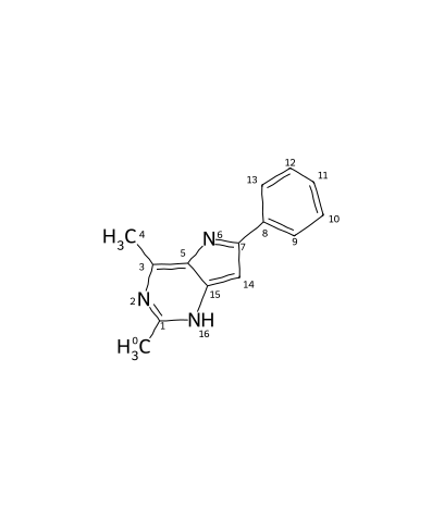 Cc1nc(C)c2nc(-c3ccccc3)cc-2[nH]1